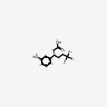 O=C(O)C[C@@H](CCC(F)(F)F)c1cccc(O)c1